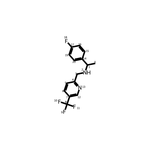 CC(NCc1ccc(C(F)(F)F)cn1)c1ccc(F)cc1